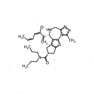 C=C(/C(Cl)=C\C=C/C)[C@@H]1NCc2nnc(C)n2-c2sc3c(c21)C[C@H](C(=O)N(CCC)CCC)C3